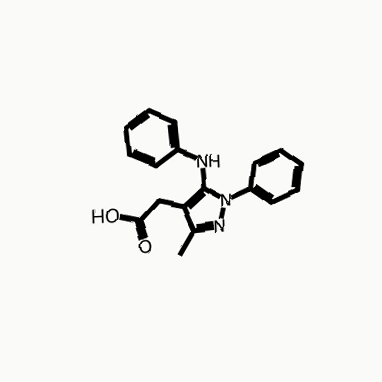 Cc1nn(-c2ccccc2)c(Nc2ccccc2)c1CC(=O)O